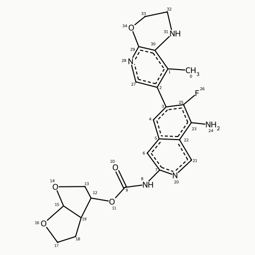 Cc1c(-c2cc3cc(NC(=O)OC4COC5OCCC45)ncc3c(N)c2F)cnc2c1NCCO2